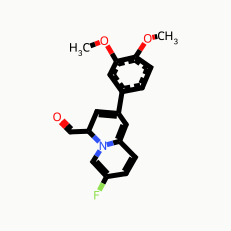 COc1ccc(C2=CC(C=O)N3C=C(F)C=CC3=C2)cc1OC